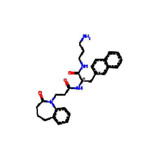 NCCCNC(=O)[C@@H](Cc1ccc2ccccc2c1)NC(=O)CCN1C(=O)CCCc2ccccc21